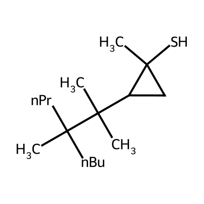 CCCCC(C)(CCC)C(C)(C)C1CC1(C)S